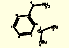 CCC[CH2][Sn][CH2]CCC.NSc1ccccc1